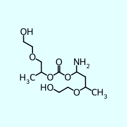 CC(CC(N)OC(=O)OC(C)COCCO)OCCO